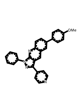 COc1ccc(-c2ccc3nc4c(cc3c2)c(-c2ccncc2)nn4-c2ccccc2)cc1